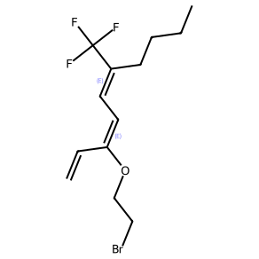 C=C/C(=C\C=C(/CCCC)C(F)(F)F)OCCBr